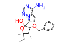 CC[C@@]1(C)OC(O)(c2ccc3c(N)ncnn23)C(OCc2ccccc2)[C@@H]1C